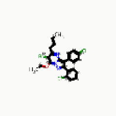 CCCCc1nc2c(-c3ccc(Cl)cc3)c(-c3ccccc3Cl)nn2c(OCC)c1Br